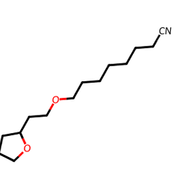 N#CCCCCCCCOCCC1CCCO1